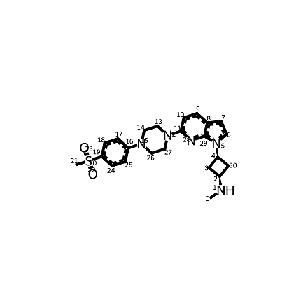 CN[C@H]1C[C@@H](n2ccc3ccc(N4CCN(c5ccc(S(C)(=O)=O)cc5)CC4)nc32)C1